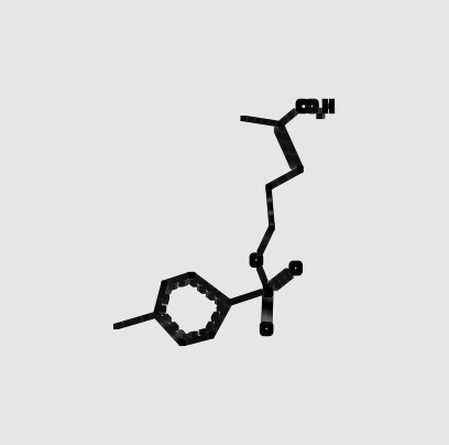 CC(=CCCOS(=O)(=O)c1ccc(C)cc1)C(=O)O